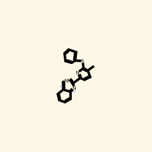 C=C(/N=C1/C=CC=C/C1=C/N)c1ccc(C)c(Sc2ccccc2)n1